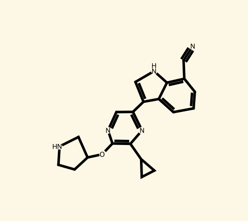 N#Cc1cccc2c(-c3cnc(OC4CCNC4)c(C4CC4)n3)c[nH]c12